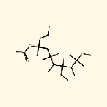 CCCC(C)(CC(C)(C)C(C)C(C)(CC)C(C)C(C)(C)OC)OC(C)=O